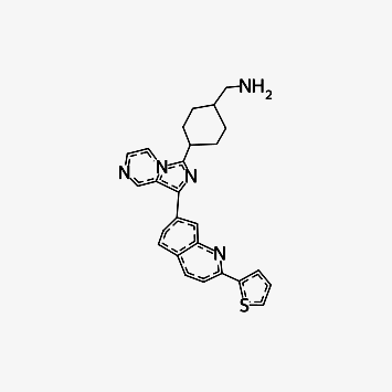 NCC1CCC(c2nc(-c3ccc4ccc(-c5cccs5)nc4c3)c3cnccn23)CC1